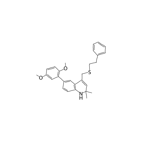 COc1ccc(OC)c(-c2ccc3c(c2)C(CSCCc2ccccc2)=CC(C)(C)N3)c1